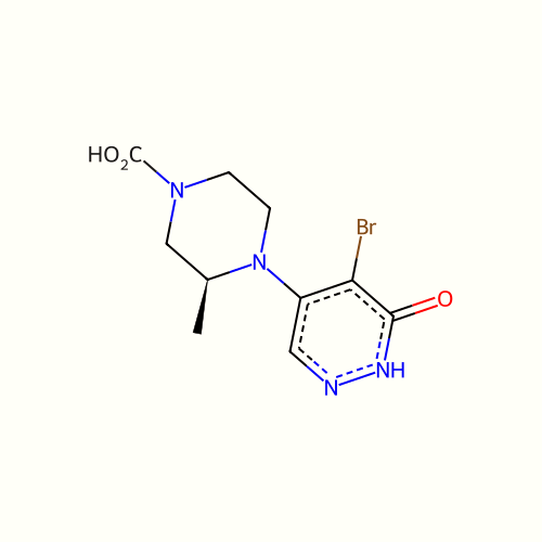 C[C@H]1CN(C(=O)O)CCN1c1cn[nH]c(=O)c1Br